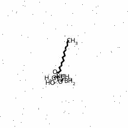 B[C@@H](C)O[C@H](CO)N(C)NC(=O)CCCCCCCCCCCCC